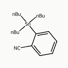 CCC[CH2][Sn]([CH2]CCC)([CH2]CCC)[c]1ccccc1C#N